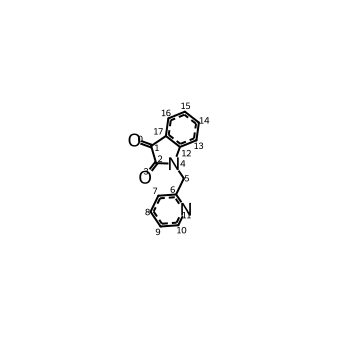 O=C1C(=O)N(Cc2ccccn2)c2ccccc21